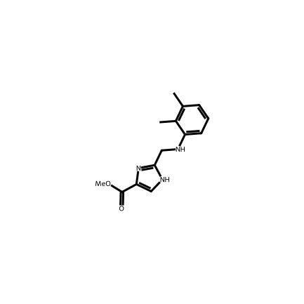 COC(=O)c1c[nH]c(CNc2cccc(C)c2C)n1